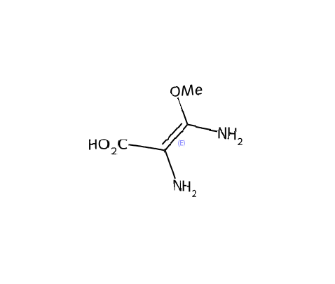 CO/C(N)=C(/N)C(=O)O